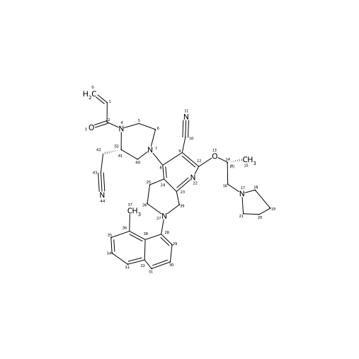 C=CC(=O)N1CCN(c2c(C#N)c(O[C@H](C)CN3CCCC3)nc3c2CCN(c2cccc4cccc(C)c24)C3)C[C@@H]1CC#N